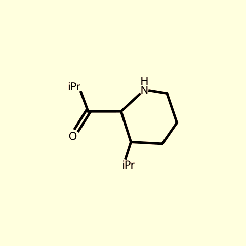 CC(C)C(=O)C1NCCCC1C(C)C